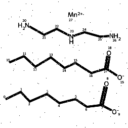 CCCCCCCC(=O)[O-].CCCCCCCC(=O)[O-].NCCNCCN.[Mn+2]